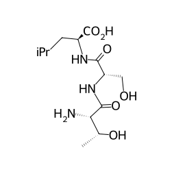 CC(C)C[C@H](NC(=O)[C@H](CO)NC(=O)[C@@H](N)[C@@H](C)O)C(=O)O